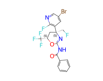 O=C(NC1=N[C@](CF)(c2cc(Br)cnc2F)C[C@@H](C(F)(F)F)O1)c1ccccc1